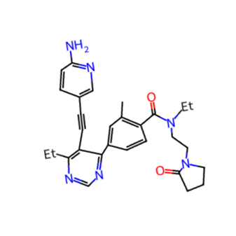 CCc1ncnc(-c2ccc(C(=O)N(CC)CCN3CCCC3=O)c(C)c2)c1C#Cc1ccc(N)nc1